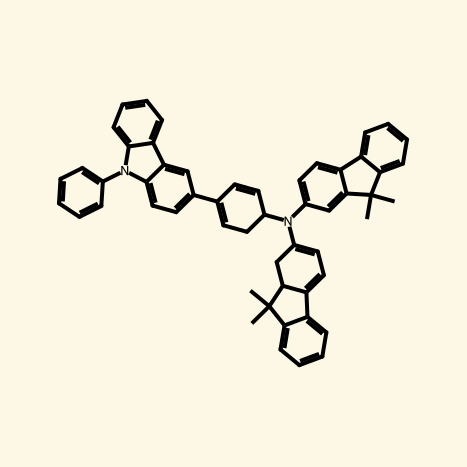 CC1(C)c2ccccc2-c2ccc(N(C3=CC=C4c5ccccc5C(C)(C)C4C3)C3C=CC(c4ccc5c(c4)c4ccccc4n5-c4ccccc4)=CC3)cc21